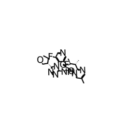 Cc1cnc([C@@H](C)[C@H](C)S(=O)(=O)Nc2nnc([C@H]3CCOC3)n2-c2c(F)cncc2F)nc1